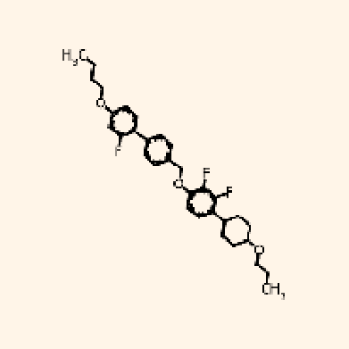 CCCCOc1ccc(-c2ccc(COc3ccc(C4CCC(OCCC)CC4)c(F)c3F)cc2)c(F)c1